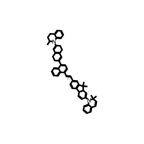 CC1CCc2ccccc2N1C1=CC2=C(C=C(c3ccc(/C=C/c4ccc5c(c4)C(C)(C)C4C=C(N6c7ccccc7C=CC6(C)C)C=CC54)c4ccccc34)CC2)CC1